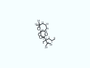 CCCC(C)(C(=O)OC1CCCC(C)(C)OC1=O)C(C)C